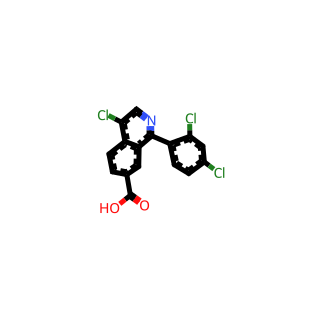 O=C(O)c1ccc2c(Cl)cnc(-c3ccc(Cl)cc3Cl)c2c1